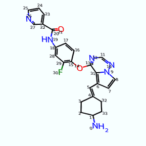 NC1CCC(=Cc2ccn3ncnc(Oc4ccc(NC(=O)c5cccnc5)cc4F)c23)CC1